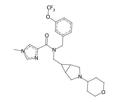 Cn1cnc(C(=O)N(Cc2cccc(OC(F)(F)F)c2)CC2C3CN(C4CCOCC4)CC23)c1